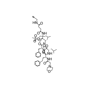 C#CCNC(=O)CCC(=O)NC(C)(COS(C)(=O)=O)C(=O)[C@H](CC(C)C)NC(=O)[C@H](Cc1ccccc1)NC(=O)[C@H](CC(C)C)NC(=O)[C@H](CCc1ccccc1)NC(=O)CN1CCOCC1